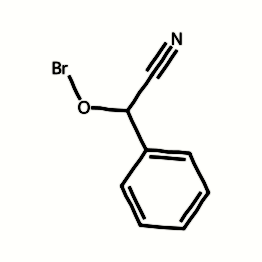 N#CC(OBr)c1ccccc1